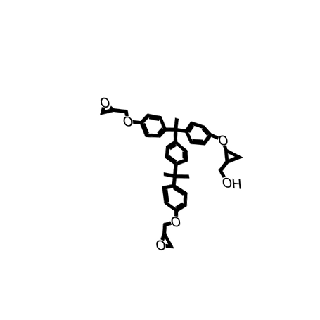 CC(C)(c1ccc(OCC2CO2)cc1)c1ccc(C(C)(c2ccc(OCC3CO3)cc2)c2ccc(OC3CC3CO)cc2)cc1